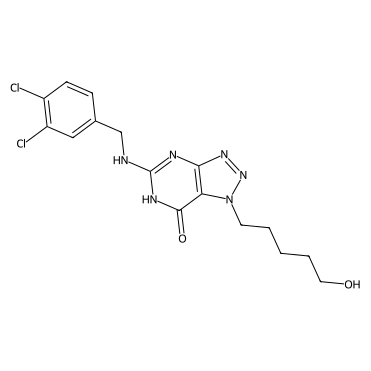 O=c1[nH]c(NCc2ccc(Cl)c(Cl)c2)nc2nnn(CCCCCO)c12